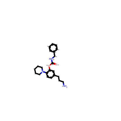 NCCCc1ccc(N2CCCCC2)c(OC(=O)NCc2ccccc2)c1